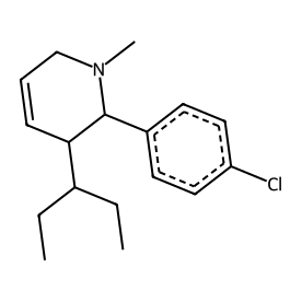 CCC(CC)C1C=CCN(C)C1c1ccc(Cl)cc1